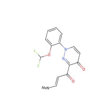 CNC=CC(=O)c1nn(-c2ccccc2OC(F)F)ccc1=O